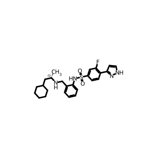 C[C@@H](CC1CCCCC1)NCc1ccccc1NS(=O)(=O)c1ccc(-c2cc[nH]n2)c(F)c1